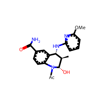 COc1cccc(N[C@H]2c3cc(C(N)=O)ccc3N(C(C)=O)[C@@H](O)[C@@H]2C)n1